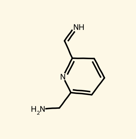 N=Cc1cccc(CN)n1